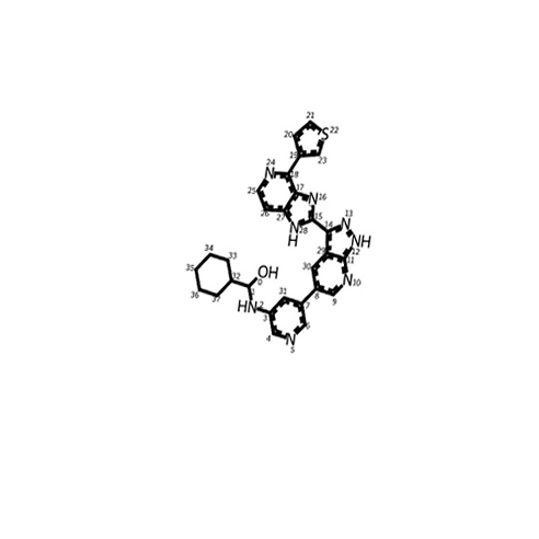 OC(Nc1cncc(-c2cnc3[nH]nc(-c4nc5c(-c6ccsc6)nccc5[nH]4)c3c2)c1)C1CCCCC1